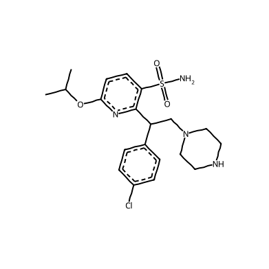 CC(C)Oc1ccc(S(N)(=O)=O)c(C(CN2CCNCC2)c2ccc(Cl)cc2)n1